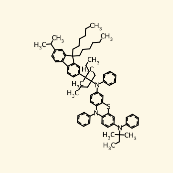 CCCCCCC1(CCCCCC)c2cc(C(C)C)ccc2-c2ccc(C(C)(CCC)C(CC)(CCC)N(c3ccccc3)c3ccc4c(c3)Sc3cc(N(c5ccccc5)C(C)(C)CC)ccc3N4c3ccccc3)cc21